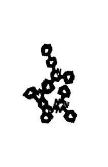 c1ccc(-c2ccc(-c3cc(-c4ccc(-n5c6ccccc6c6cc7c8ccccc8n(-c8nc(-c9ccccc9)nc(-c9ccccc9)n8)c7cc65)cc4)cc(-c4ccccc4)n3)cc2)cc1